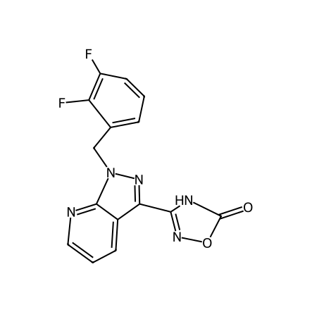 O=c1[nH]c(-c2nn(Cc3cccc(F)c3F)c3ncccc23)no1